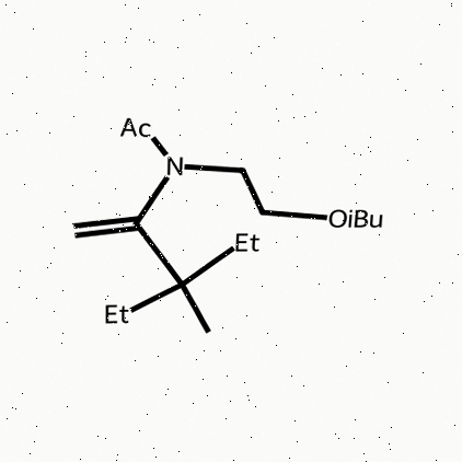 C=C(N(CCOCC(C)C)C(C)=O)C(C)(CC)CC